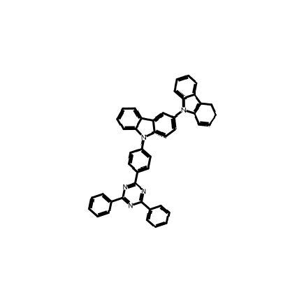 C1=Cc2c(c3ccccc3n2-c2ccc3c(c2)c2ccccc2n3-c2ccc(-c3nc(-c4ccccc4)nc(-c4ccccc4)n3)cc2)CC1